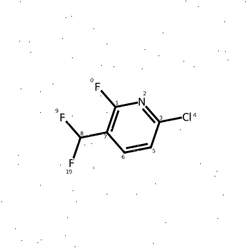 Fc1nc(Cl)ccc1C(F)F